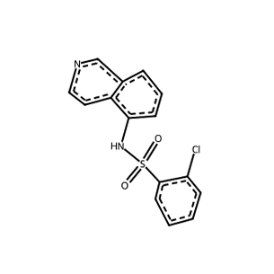 O=S(=O)(Nc1cccc2cnccc12)c1ccccc1Cl